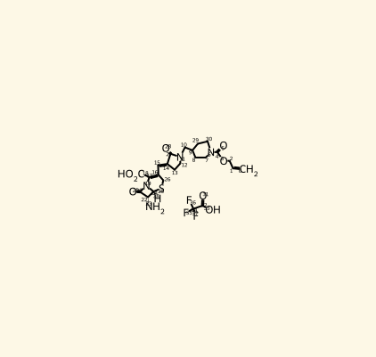 C=CCOC(=O)N1CCC(CN2CCC(=CC3=C(C(=O)O)N4C(=O)[C@@H](N)[C@H]4SC3)C2=O)CC1.O=C(O)C(F)(F)F